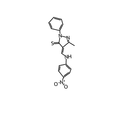 CC1=NN(c2ccccc2)C(=S)/C1=C/Nc1ccc([N+](=O)[O-])cc1